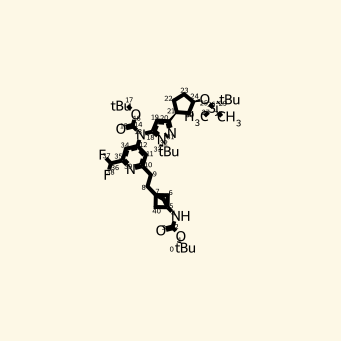 CC(C)(C)OC(=O)NC12CC(CCc3cc(N(C(=O)OC(C)(C)C)c4cc([C@H]5CC[C@@H](O[Si](C)(C)C(C)(C)C)C5)nn4C(C)(C)C)cc(C(F)F)n3)(C1)C2